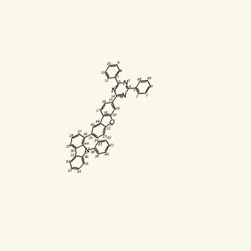 c1ccc(-c2nc(-c3ccccc3)nc(-c3ccc4c(c3)oc3ccc(-c5cccc6c7ccccc7n(-c7ccccc7)c56)cc34)n2)cc1